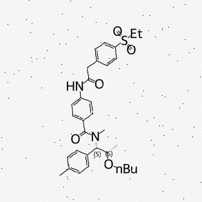 CCCCO[C@@H](C)[C@H](c1ccc(C)cc1)N(C)C(=O)c1ccc(NC(=O)Cc2ccc(S(=O)(=O)CC)cc2)cc1